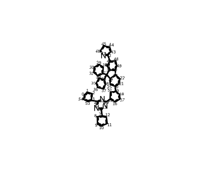 c1ccc(-c2nc(-c3ccccc3)nc(-c3cccc(-c4ccc5c(c4)C(c4ccccc4)(c4ccccc4)c4cc(-c6ccccn6)ccc4-5)c3)n2)cc1